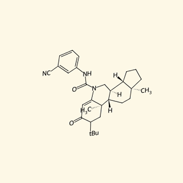 CC(C)(C)C1C[C@@]2(C)C(=CC1=O)N(C(=O)Nc1cccc(C#N)c1)C[C@H]1[C@@H]3CCC[C@@]3(C)CC[C@@H]12